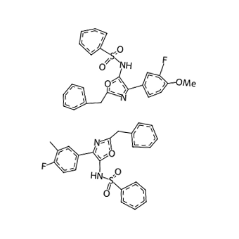 COc1ccc(-c2nc(Cc3ccccc3)oc2NS(=O)(=O)c2ccccc2)cc1F.Cc1cc(-c2nc(Cc3ccccc3)oc2NS(=O)(=O)c2ccccc2)ccc1F